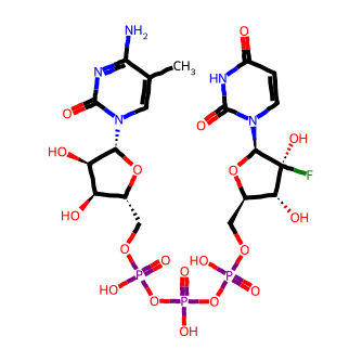 Cc1cn([C@@H]2O[C@H](COP(=O)(O)OP(=O)(O)OP(=O)(O)OC[C@H]3O[C@@H](n4ccc(=O)[nH]c4=O)[C@@](O)(F)[C@@H]3O)[C@@H](O)[C@H]2O)c(=O)nc1N